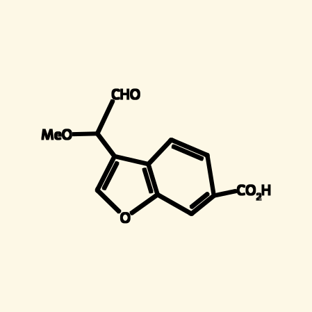 COC(C=O)c1coc2cc(C(=O)O)ccc12